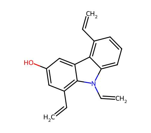 C=Cc1cccc2c1c1cc(O)cc(C=C)c1n2C=C